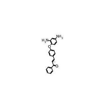 Nc1ccc(Oc2ccc(/C=C/C(=O)c3ccccc3)cc2)c(N)c1